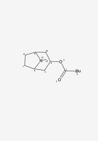 CCC(C)C(=O)OC1CC2CCC(C1)N2C